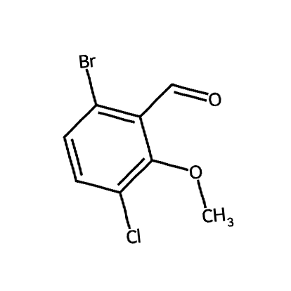 COc1c(Cl)ccc(Br)c1C=O